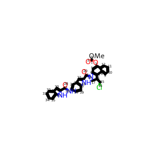 COC(=O)Oc1cc2c(c3ccccc13)C(CCl)CN2C(=O)c1cc2cc(NC(=O)c3cc4ccccc4[nH]3)ccc2[nH]1